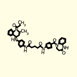 CCC(=O)N1c2ccccc2[C@H](Nc2ccc(NC(=O)CCCC(=O)Nc3ccc(C(=O)N4CCC(=O)Nc5ccccc54)cc3)cc2)C[C@@H]1C